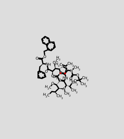 CC[C@H](C)[C@@H]([C@@H](CC(=O)N1CCC[C@H]1[C@H](OC)[C@@H](C)C(=O)N[C@@H](Cc1ccccc1)C(=O)OCc1cccc2ccccc12)OC)N(C)[C@H](C(=O)NC(=O)[C@H](C(C)C)N(C)C(=O)OC(C)(C)C)C(C)C